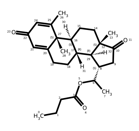 CCCC(=O)OC(C)[C@H]1CC(=O)[C@@]2(C)CC[C@H]3[C@@H](CCC4=CC(=O)C=C(C)[C@@]43C)[C@H]12